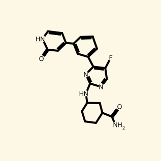 NC(=O)C1CCCC(Nc2ncc(F)c(-c3cccc(-c4cc[nH]c(=O)c4)c3)n2)C1